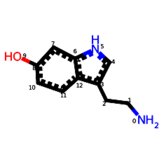 NCCc1c[nH]c2cc(O)ccc12